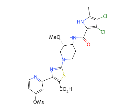 COc1ccnc(-c2nc(N3CC[C@@H](NC(=O)c4[nH]c(C)c(Cl)c4Cl)[C@@H](OC)C3)sc2C(=O)O)c1